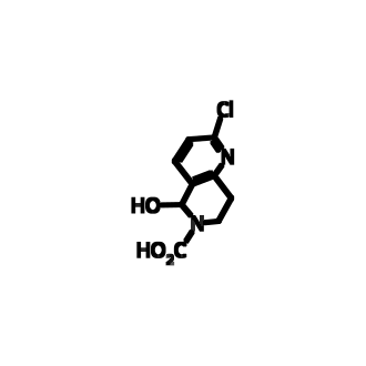 O=C(O)N1CCc2nc(Cl)ccc2C1O